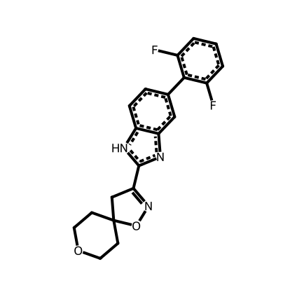 Fc1cccc(F)c1-c1ccc2[nH]c(C3=NOC4(CCOCC4)C3)nc2c1